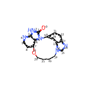 O=c1[nH]c2nccc3c2n1-c1ccc2ncn(c2c1)CCCCO3